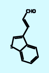 O=CC=Cc1csc2ccccc12